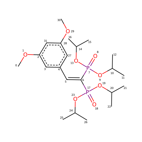 COc1cc(C=C(P(=O)(OC(C)C)OC(C)C)P(=O)(OC(C)C)OC(C)C)cc(OC)c1